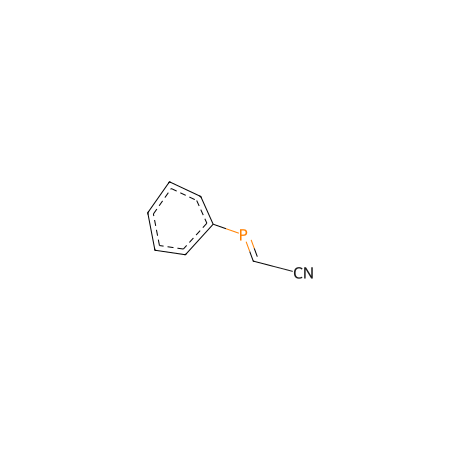 N#CC=Pc1ccccc1